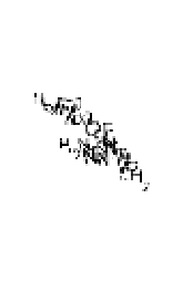 C=CC(=O)N1CC[C@@H](n2nc(-c3ccc(Oc4ccnc(C(=O)NC)c4)cc3F)c3c(N)ncnc32)C1